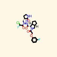 O=C1NCC[C@H]1CN(NC(=O)[C@@H]1[C@H]2CCC[C@H]2CN1C(=O)COc1cccc(F)c1)C(=O)C(F)Cl